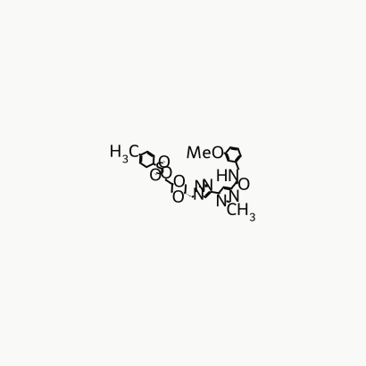 COc1cccc(CNC(=O)c2cc(-c3cn(C[C@H]4COC(COS(=O)(=O)C5C=CC(C)=CC5)CO4)nn3)nc(C)n2)c1